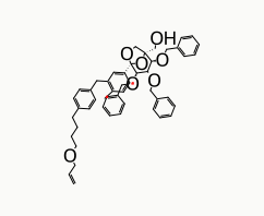 C=CCOCCCCc1ccc(Cc2cc([C@]34OC[C@](CO)(O3)[C@@H](OCc3ccccc3)[C@H](OCc3ccccc3)[C@H]4OCc3ccccc3)ccc2C)cc1